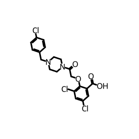 O=C(O)c1cc(Cl)cc(Cl)c1OCC(=O)N1CCN(Cc2ccc(Cl)cc2)CC1